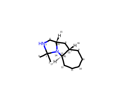 CC1(C)NC[C@@H]2C[C@@H]3CCCCC[C@H]3N21